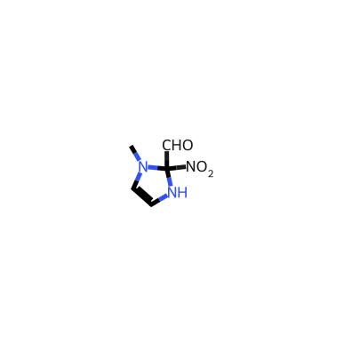 CN1C=CNC1(C=O)[N+](=O)[O-]